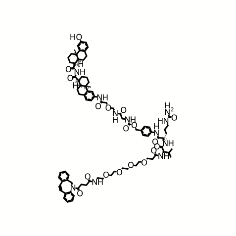 CC(C)[C@H](NC(=O)CCOCCOCCOCCOCCNC(=O)CCC(=O)N1Cc2ccccc2C#Cc2ccccc21)C(=O)N[C@@H](CCCNC(N)=O)C(=O)Nc1ccc(COC(=O)NCC(=O)NCOCC(=O)Nc2ccc3c(c2)[C@@]2(C)CCC[C@](C)(C(=O)NC(=O)[C@@]4(C)CCC[C@]5(C)c6cc(O)ccc6CC[C@@H]45)[C@@H]2CC3)cc1